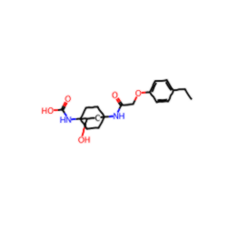 CCc1ccc(OCC(=O)NC23CCC(NC(=O)O)(CC2)C(O)C3)cc1